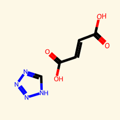 O=C(O)C=CC(=O)O.c1nnn[nH]1